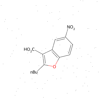 CCCCc1oc2ccc([N+](=O)[O-])cc2c1C(=O)O